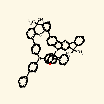 CC1(C)c2ccccc2-c2cc3c4cc(-c5cccc6c5Oc5c(-c7ccc(N(c8ccc(-c9ccccc9)cc8)c8ccc(-c9ccccc9)cc8)cc7)cccc5C6(C)C)ccc4n(-c4ccccc4)c3cc21